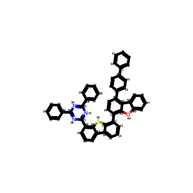 c1ccc(-c2ccc(-c3ccc(-c4cccc5c4sc4c(-c6nc(-c7ccccc7)nc(-c7ccccc7)n6)cccc45)c4oc5ccccc5c34)cc2)cc1